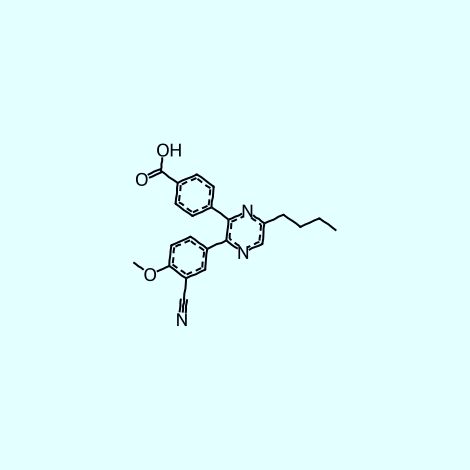 CCCCc1cnc(-c2ccc(OC)c(C#N)c2)c(-c2ccc(C(=O)O)cc2)n1